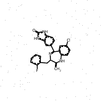 C=C1Nc2ccc(Cl)cc2C(c2ccc3[nH]c(=O)[nH]c3c2)=NC1Cc1ccccc1F